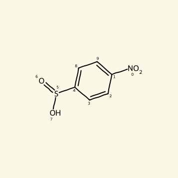 O=[N+]([O-])c1ccc(S(=O)O)cc1